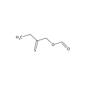 CCC(=S)COC=O